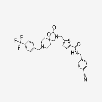 N#Cc1ccc(CNC(=O)c2ccc(CN3CC4(CCN(Cc5ccc(C(F)(F)F)cc5)CC4)OC3=O)s2)cc1